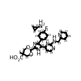 CC1(C(=O)O)COC(c2nc(-c3ccc(F)cc3)c(-c3ccnc(NCc4ccccn4)n3)[nH]2)OC1.NC1CC1